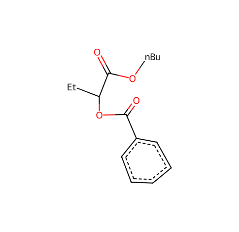 CCCCOC(=O)C(CC)OC(=O)c1ccccc1